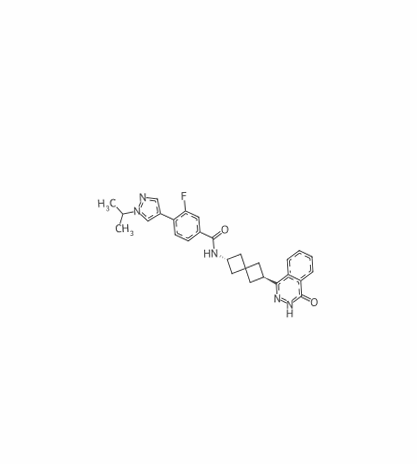 CC(C)n1cc(-c2ccc(C(=O)N[C@H]3CC4(C3)C[C@H](c3n[nH]c(=O)c5ccccc53)C4)cc2F)cn1